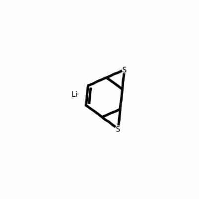 C1=CC2SC2C2SC12.[Li]